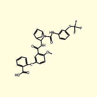 COc1ccc(Cc2ccccc2C(=O)O)cc1C(=O)NC1C2C=CC(C2)N1C(=O)Nc1cccc(SC(F)(F)F)c1